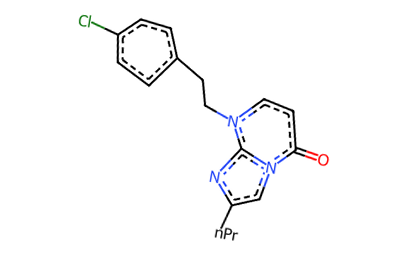 CCCc1cn2c(=O)ccn(CCc3ccc(Cl)cc3)c2n1